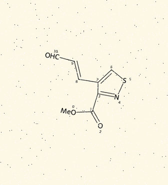 COC(=O)c1nscc1C=CC=O